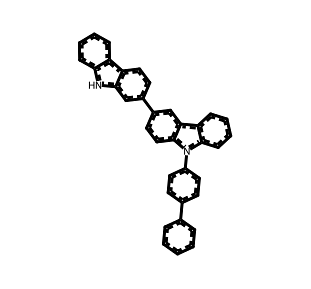 c1ccc(-c2ccc(-n3c4ccccc4c4cc(-c5ccc6c(c5)[nH]c5ccccc56)ccc43)cc2)cc1